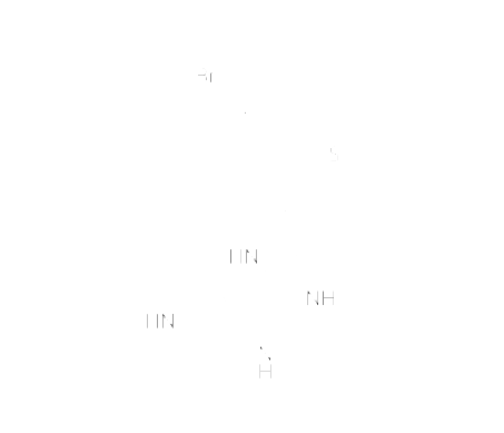 CC1(c2cc(Br)cs2)NNC(=N)N1